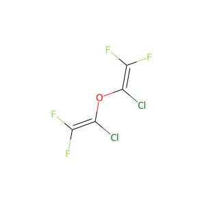 FC(F)=C(Cl)OC(Cl)=C(F)F